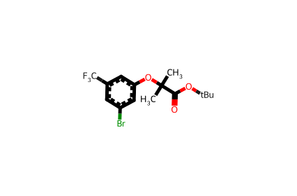 CC(C)(C)OC(=O)C(C)(C)Oc1cc(Br)cc(C(F)(F)F)c1